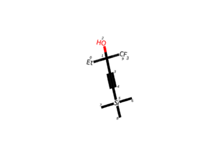 CCC(O)(C#C[Si](C)(C)C)C(F)(F)F